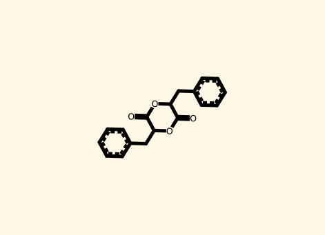 O=C1OC(Cc2ccccc2)C(=O)OC1Cc1ccccc1